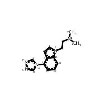 CN(C)CCn1ccc2c(-n3cnnc3)cccc21